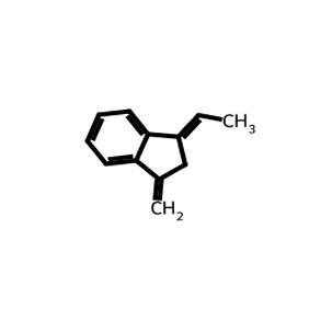 C=C1C/C(=C\C)c2ccccc21